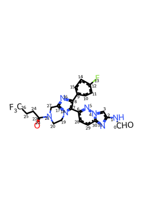 O=CNc1cn2nc(-c3c(-c4ccc(F)cc4)nc4n3CCN(C(=O)CCC(F)(F)F)C4)ccc2n1